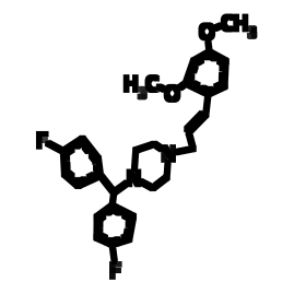 COc1ccc(/C=C/CN2CCN(C(c3ccc(F)cc3)c3ccc(F)cc3)CC2)c(OC)c1